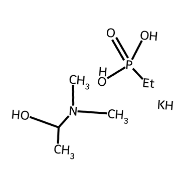 CC(O)N(C)C.CCP(=O)(O)O.[KH]